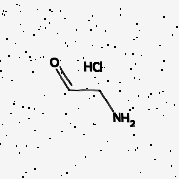 Cl.NCC=O